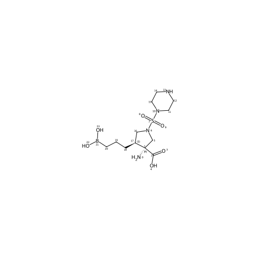 N[C@@]1(C(=O)O)CN(S(=O)(=O)N2CCNCC2)C[C@@H]1CCCB(O)O